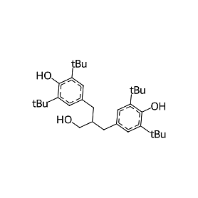 CC(C)(C)c1cc(CC(CO)Cc2cc(C(C)(C)C)c(O)c(C(C)(C)C)c2)cc(C(C)(C)C)c1O